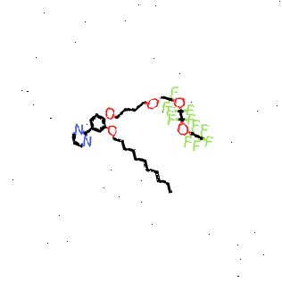 CCCCCCCCCCCOc1cc(-c2ncccn2)ccc1OCCCCOCC(F)(F)OC(F)(F)C(F)(F)OC(F)(F)C(F)(F)F